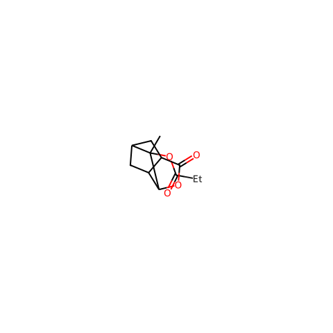 CCC(=O)OC1(C)C2CC3C(=O)OC1C3C2